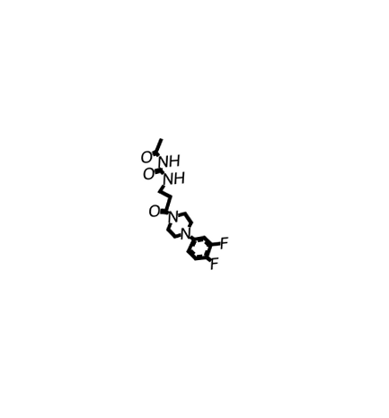 CC(=O)NC(=O)NCCC(=O)N1CCN(c2ccc(F)c(F)c2)CC1